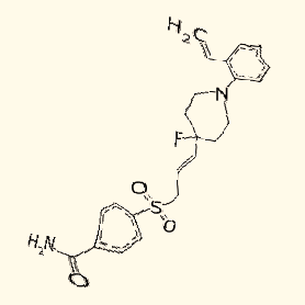 C=Cc1ccccc1N1CCC(F)(C=CCS(=O)(=O)c2ccc(C(N)=O)cc2)CC1